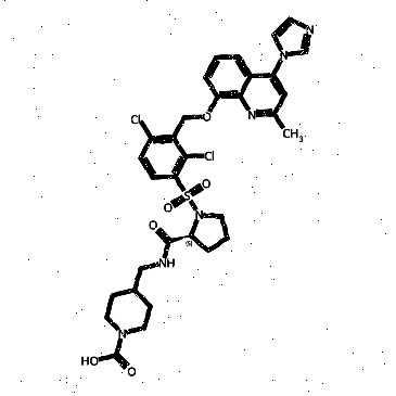 Cc1cc(-n2ccnc2)c2cccc(OCc3c(Cl)ccc(S(=O)(=O)N4CCC[C@H]4C(=O)NCC4CCN(C(=O)O)CC4)c3Cl)c2n1